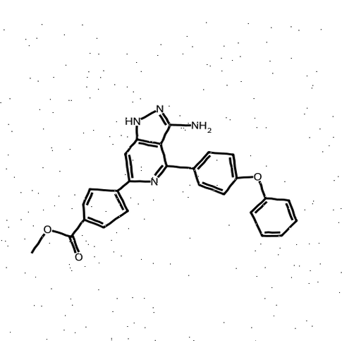 COC(=O)c1ccc(-c2cc3[nH]nc(N)c3c(-c3ccc(Oc4ccccc4)cc3)n2)cc1